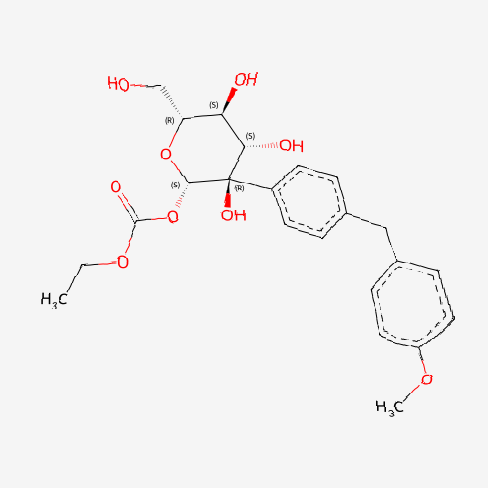 CCOC(=O)O[C@@H]1O[C@H](CO)[C@@H](O)[C@H](O)[C@]1(O)c1ccc(Cc2ccc(OC)cc2)cc1